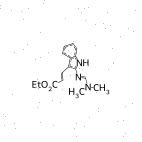 CCOC(=O)C=Cc1c(N=CN(C)C)[nH]c2ccccc12